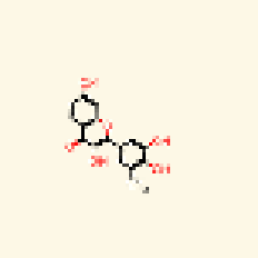 Cc1cc(-c2oc3cc(O)ccc3c(=O)c2O)cc(O)c1O